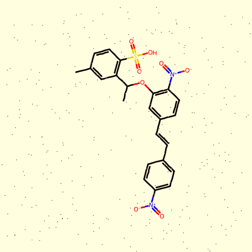 Cc1ccc(S(=O)(=O)O)c(C(C)Oc2cc(/C=C/c3ccc([N+](=O)[O-])cc3)ccc2[N+](=O)[O-])c1